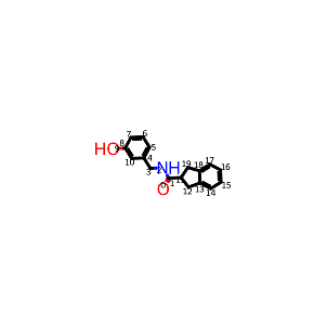 O=C(NCc1cccc(O)c1)C1Cc2ccccc2C1